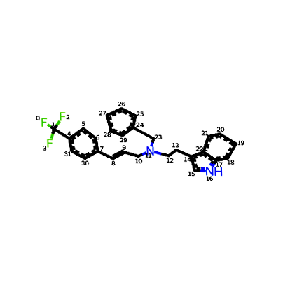 FC(F)(F)c1ccc(C=CCN(CCc2c[nH]c3ccccc23)Cc2ccccc2)cc1